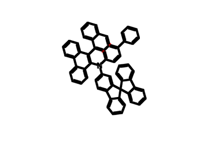 c1ccc(-c2ccc(N(c3ccc4c(c3)C3(c5ccccc5-c5ccccc53)c3ccccc3-4)c3c(-c4cccc5ccccc45)c4ccccc4c4ccccc34)cc2)cc1